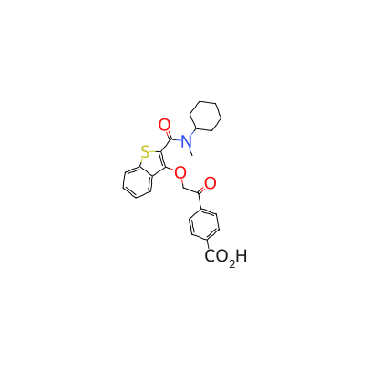 CN(C(=O)c1sc2ccccc2c1OCC(=O)c1ccc(C(=O)O)cc1)C1CCCCC1